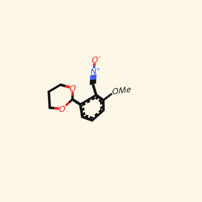 COc1cccc(C2OCCCO2)c1C#[N+][O-]